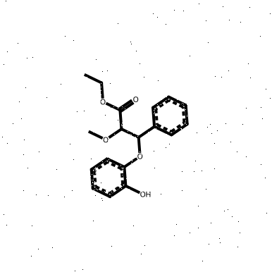 CCOC(=O)C(OC)C(Oc1ccccc1O)c1ccccc1